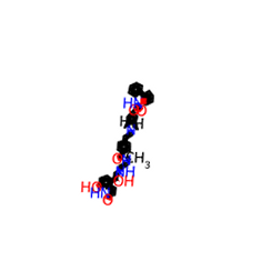 CN(CCNC[C@H](O)c1ccc(O)c2[nH]c(=O)ccc12)C(=O)c1ccc(CCN2C[C@H]3C[C@H](OC(=O)Nc4ccccc4-c4ccccc4)C[C@H]3C2)cc1